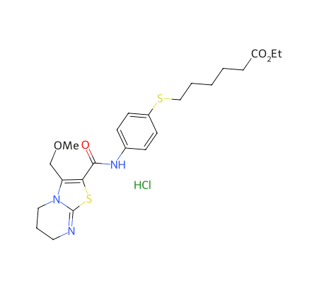 CCOC(=O)CCCCCSc1ccc(NC(=O)C2=C(COC)N3CCCN=C3S2)cc1.Cl